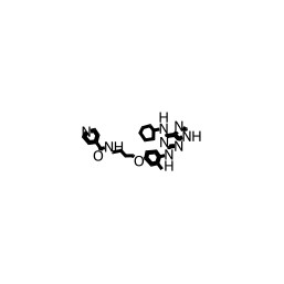 Cc1cc(OCCCCNC(=O)c2ccncc2)ccc1Nc1nc(NC2CCCCC2)c2nc[nH]c2n1